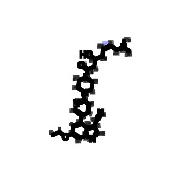 CCOc1cc(-c2ccc(N3CCN(C(=O)CC(O)C/C=C\CN(C)C)CC3)nc2)c2c(C#N)cnn2c1